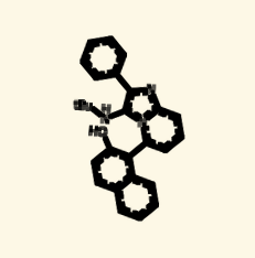 CC(C)(C)Nc1c(-c2ccccc2)nc2cccc(-c3c(O)ccc4ccccc34)n12